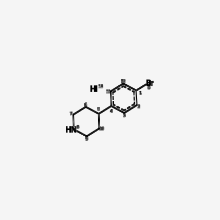 Brc1ccc(C2CCNCC2)cc1.I